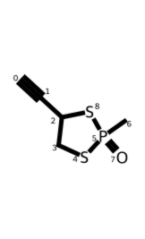 C#CC1CSP(C)(=O)S1